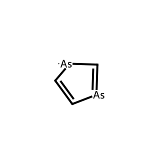 C1=C[As]=C[As]1